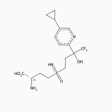 N=S(=O)(CC[C@H](N)C(=O)O)CCC(O)(c1ccc(C2CC2)cn1)C(F)(F)F